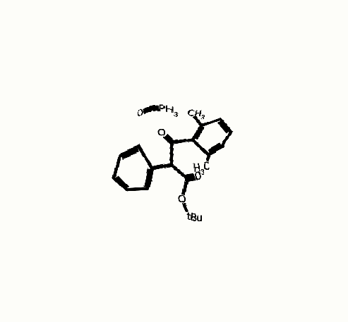 Cc1cccc(C)c1C(=O)C(C(=O)OC(C)(C)C)c1ccccc1.O=[PH3]